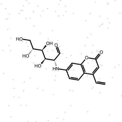 C=Cc1cc(=O)oc2cc(N[C@@H](C=O)[C@@H](O)[C@H](O)[C@H](O)CO)ccc12